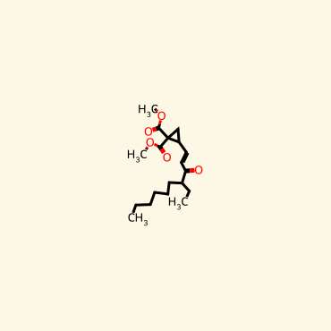 CCCCCCC(CC)C(=O)C=CC1CC1(C(=O)OC)C(=O)OC